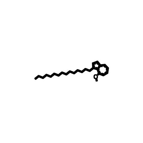 CCCCCCCCCCCCCCCc1ccc2ccccc(OC)c1-2